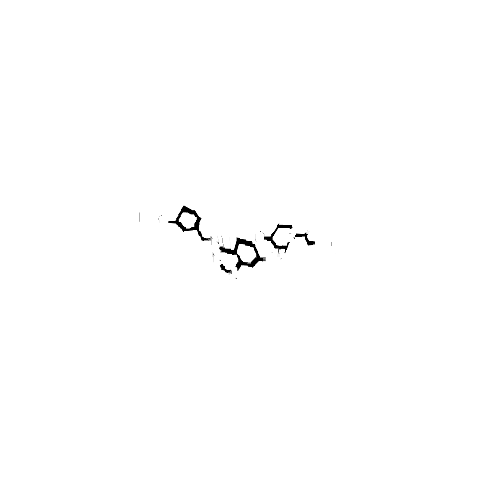 C=CC(=O)N1CCC(Oc2cc3c(NCc4cccc(C)c4)ncnc3cc2OC)CC1